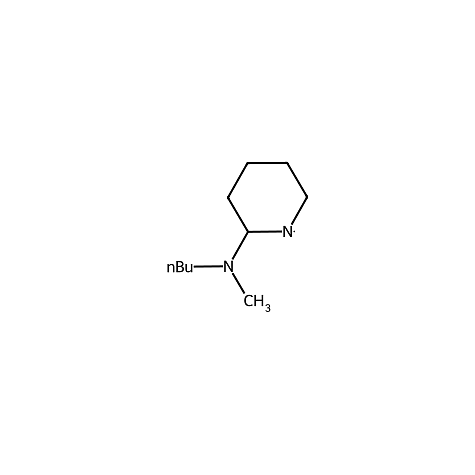 CCCCN(C)C1CCCC[N]1